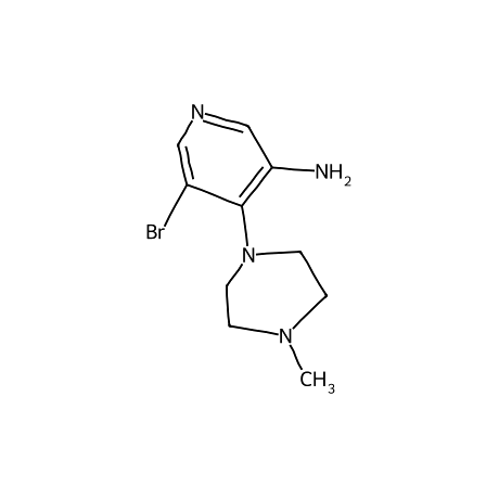 CN1CCN(c2c(N)cncc2Br)CC1